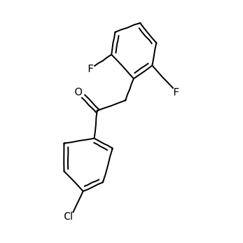 O=C(Cc1c(F)cccc1F)c1ccc(Cl)cc1